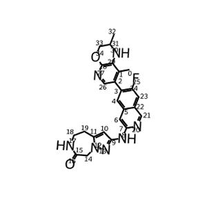 Cc1c(-c2cc3cc(Nc4cc5n(n4)CC(=O)NCC5)ncc3cc2F)cnc2c1NC(C)CO2